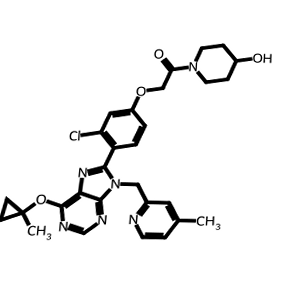 Cc1ccnc(Cn2c(-c3ccc(OCC(=O)N4CCC(O)CC4)cc3Cl)nc3c(OC4(C)CC4)ncnc32)c1